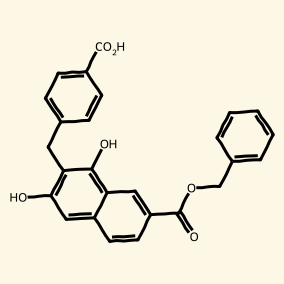 O=C(O)c1ccc(Cc2c(O)cc3ccc(C(=O)OCc4ccccc4)cc3c2O)cc1